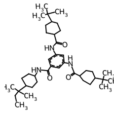 CCC(C)(C)C1CCC(NC(=O)c2cc(NC(=O)C3CCC(C(C)(C)C)CC3)cc(NC(=O)C3CCC(C(C)(C)C)CC3)c2)CC1